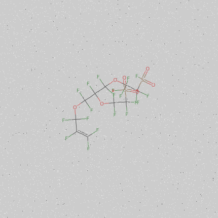 O=S(=O)(F)C(F)(F)C(F)(F)OC(F)(F)C(F)(OC(F)(F)C(F)(F)S(=O)(=O)F)C(F)(F)OC(F)(F)C(F)=C(F)F